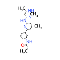 C=CC(=O)Nc1cccc(-c2cc(C)cc(NC(/C=C(/C)N)NC)n2)c1